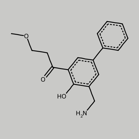 COCCC(=O)c1cc(-c2ccccc2)cc(CN)c1O